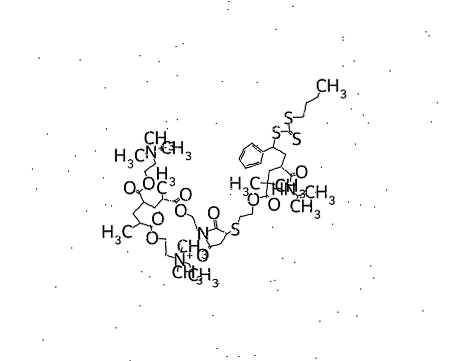 CCCCSC(=S)SC(CC(CC(C)(C)C(=O)OCCSC1CC(=O)N(CCOC(=O)C(C)CC(CC(C)C(=O)OCC[N+](C)(C)CC)C(=O)OCC[N+](C)(C)C)C1=O)C(=O)NC(C)C)c1ccccc1